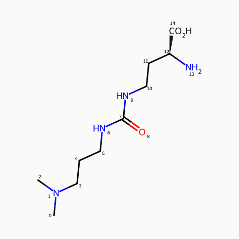 CN(C)CCCNC(=O)NCC[C@H](N)C(=O)O